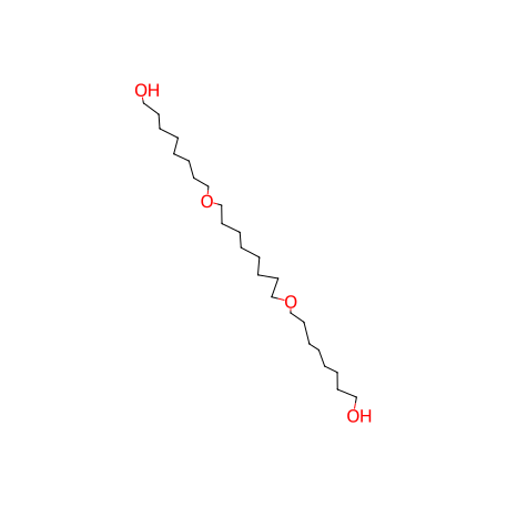 OCCCCCCCCOCCCCCCCCOCCCCCCCCO